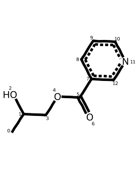 CC(O)COC(=O)c1cccnc1